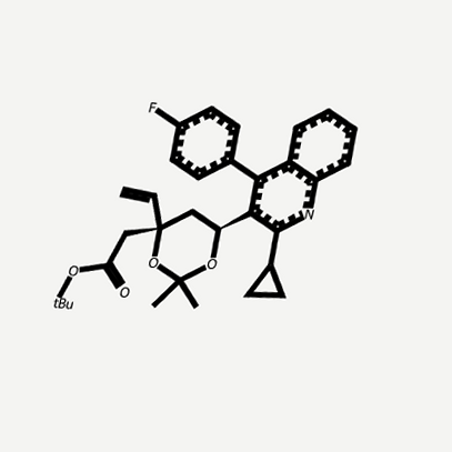 C=C[C@]1(CC(=O)OC(C)(C)C)C[C@@H](c2c(C3CC3)nc3ccccc3c2-c2ccc(F)cc2)OC(C)(C)O1